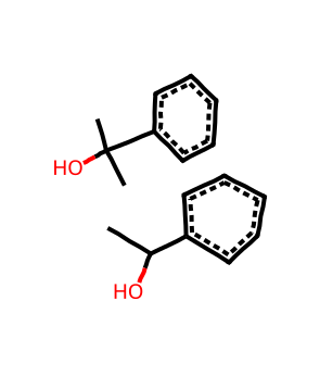 CC(C)(O)c1ccccc1.CC(O)c1ccccc1